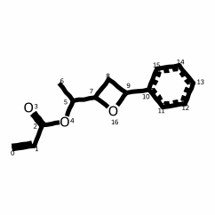 C=CC(=O)OC(C)C1CC(c2ccccc2)O1